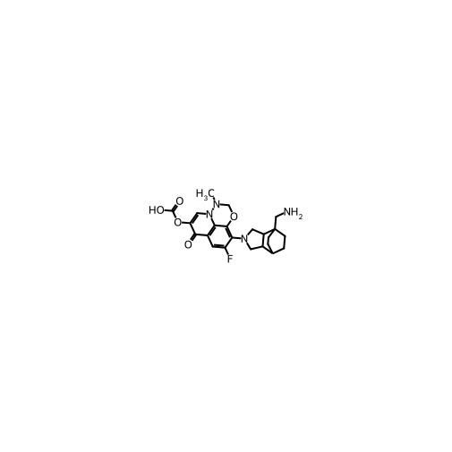 CN1COc2c(N3CC4C5CCC(CN)(CC5)C4C3)c(F)cc3c(=O)c(OC(=O)O)cn1c23